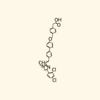 CCn1cc(-c2ccc(Cl)cc2Cl)nc1C=Cc1ccc(-c2ccc(OCc3ccc(CC(=O)O)cc3)cc2)cc1